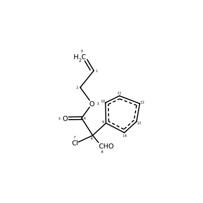 C=CCOC(=O)C(Cl)(C=O)c1ccccc1